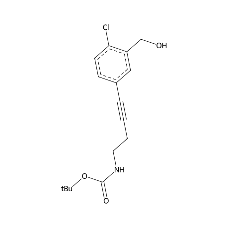 CC(C)(C)OC(=O)NCCC#Cc1ccc(Cl)c(CO)c1